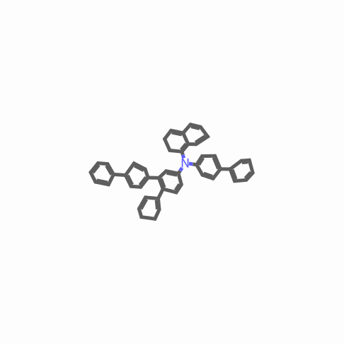 C1=CC(c2ccc(N(C3=c4ccccc4=CCC3)c3ccc(-c4ccccc4)cc3)cc2-c2ccc(-c3ccccc3)cc2)=CCC1